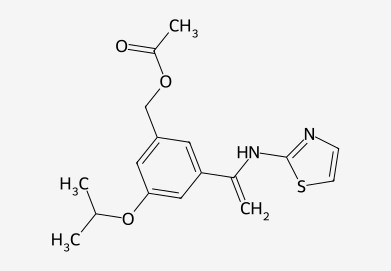 C=C(Nc1nccs1)c1cc(COC(C)=O)cc(OC(C)C)c1